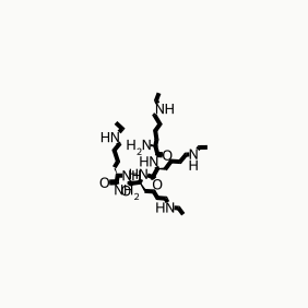 CCNCCCC[C@H](NC(=O)[C@H](CCCCNCC)NC(=O)[C@H](CCCCNCC)NC(=O)[C@@H](N)CCCCNCC)C(N)=O